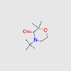 CC1(C)OCCN(C(C)(C)C)C1=O